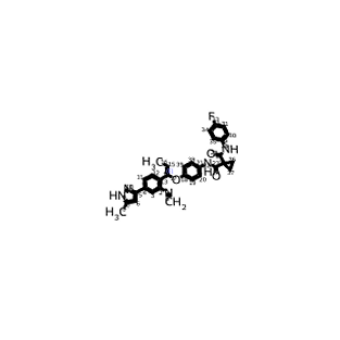 C=Nc1cc(-c2cc(C)[nH]n2)ccc1/C(=C\C)Oc1ccc(NC(=O)C2(C(=O)Nc3ccc(F)cc3)CC2)cc1